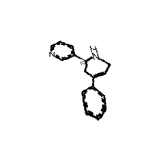 C1=C(c2ccccc2)C[C@@H](c2cccnc2)NC1